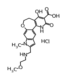 COCCNCc1cc2cc3c(cc2n1C)OCCc1c-3[nH]c(=O)c(C(=O)O)c1O.Cl